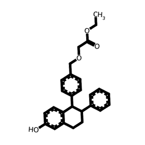 CCOC(=O)COCc1ccc(C2c3ccc(O)cc3CCC2c2ccccc2)cc1